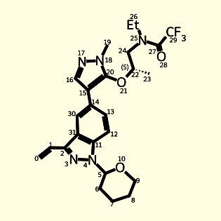 C=Cc1nn(C2CCCCO2)c2ccc(-c3cnn(C)c3O[C@@H](C)CN(CC)C(=O)C(F)(F)F)cc12